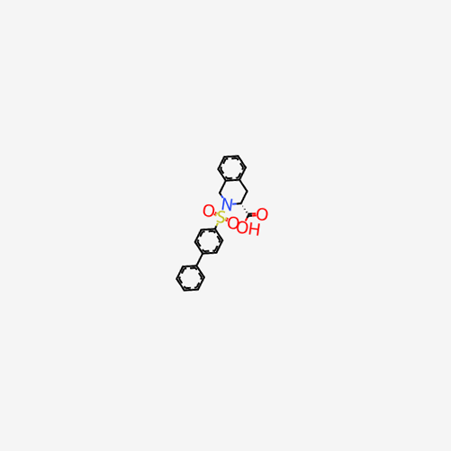 O=C(O)[C@H]1Cc2ccccc2CN1S(=O)(=O)c1ccc(-c2ccccc2)cc1